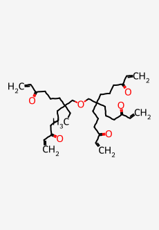 C=CC(=O)CCCC(CC)(CCCC(=O)C=C)COCC(CCCC(=O)C=C)(CCCC(=O)C=C)CCCC(=O)C=C